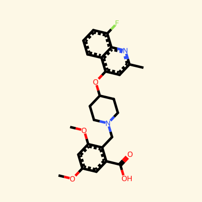 COc1cc(OC)c(CN2CCC(Oc3cc(C)nc4c(F)cccc34)CC2)c(C(=O)O)c1